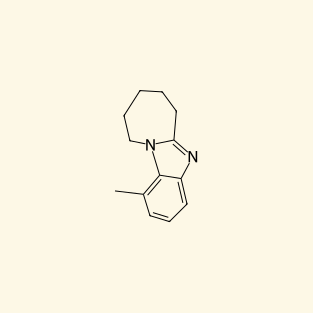 Cc1cccc2nc3n(c12)CCCCC3